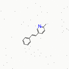 Cc1ccc(C=Cc2ccccc2)cn1